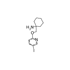 NC1(COc2ccc(I)cn2)CCCCC1